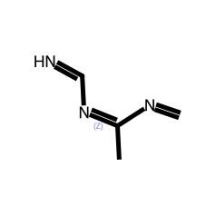 C=N/C(C)=N\C=N